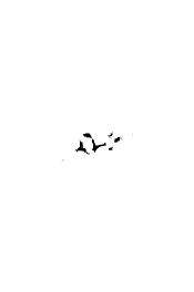 O=S(=O)(Cl)c1csc(C(F)(F)F)n1